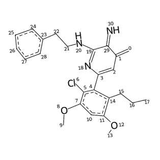 C=C1C=C(c2c(Cl)c(OC)cc(OC)c2CCC)N=C(NCCc2ccccc2)C1=N